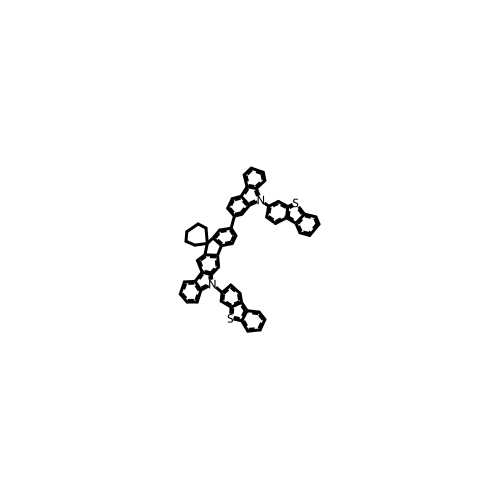 c1ccc2c(c1)sc1cc(-n3c4ccccc4c4ccc(-c5ccc6c(c5)C5(CCCCC5)c5cc7c8ccccc8n(-c8ccc9c(c8)sc8ccccc89)c7cc5-6)cc43)ccc12